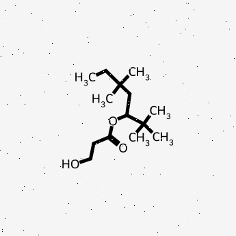 CCC(C)(C)CC(OC(=O)CCO)C(C)(C)C